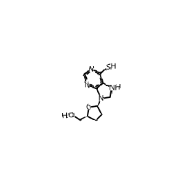 OC[C@@H]1CC[C@H](N2CNc3c(S)ncnc32)O1